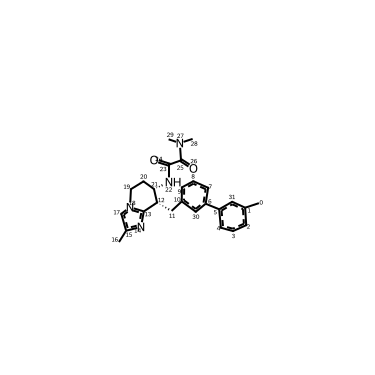 Cc1cccc(-c2cccc(C[C@@H]3c4nc(C)cn4CC[C@@H]3NC(=O)C(=O)N(C)C)c2)c1